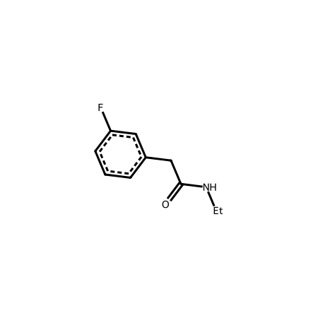 CCNC(=O)Cc1cccc(F)c1